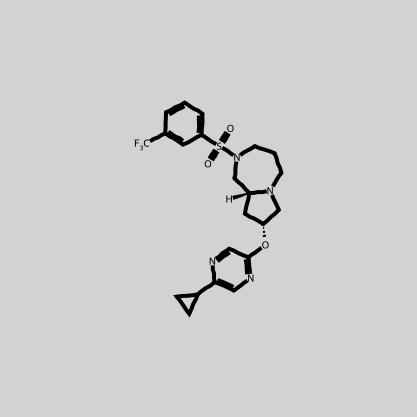 O=S(=O)(c1cccc(C(F)(F)F)c1)N1CCCN2C[C@H](Oc3cnc(C4CC4)cn3)C[C@@H]2C1